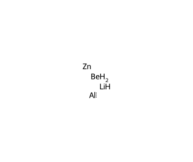 [Al].[BeH2].[LiH].[Zn]